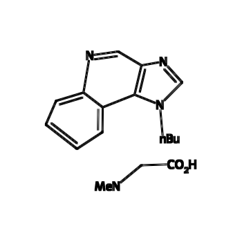 CCCCn1cnc2cnc3ccccc3c21.CNCC(=O)O